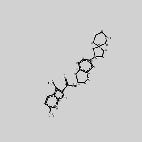 Cc1ccc2c(N)c(C(=O)N[C@H]3COc4cc(N5CC[C@]6(CCCNC6)C5)ccc4C3)sc2n1